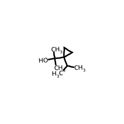 CC(C)C1(C(C)(C)O)CC1